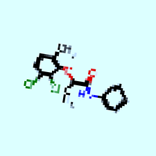 Cc1ccc(Cl)c(Cl)c1OC(C)C(=O)Nc1ccccc1